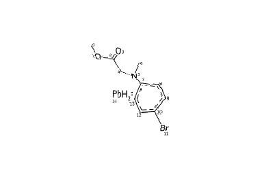 COC(=O)CN(C)c1ccc(Br)cc1.[PbH2]